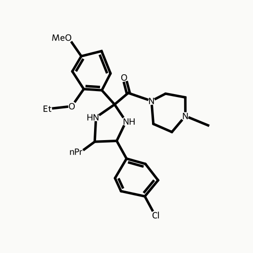 CCCC1NC(C(=O)N2CCN(C)CC2)(c2ccc(OC)cc2OCC)NC1c1ccc(Cl)cc1